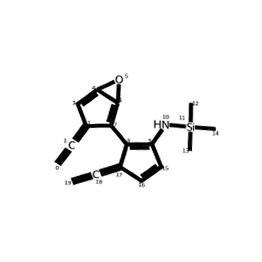 C=C=C1[C]=C2OC2=C1C1=C(N[Si](C)(C)C)C=CC1=C=C